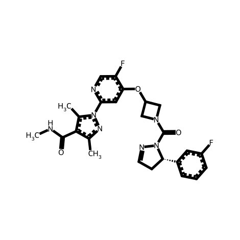 CNC(=O)c1c(C)nn(-c2cc(OC3CN(C(=O)N4N=CC[C@H]4c4cccc(F)c4)C3)c(F)cn2)c1C